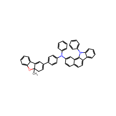 CC12CC=C(c3ccc(N(c4ccccc4)c4ccc5ccc6c7ccccc7n(-c7ccccc7)c6c5c4)cc3)C=C1c1ccccc1O2